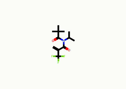 C=C(C(=O)N(C(=O)C(C)(C)C)C(C)C)C(F)(F)F